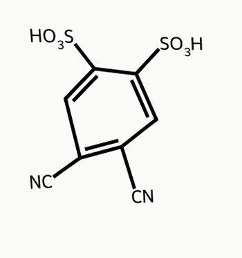 N#Cc1cc(S(=O)(=O)O)c(S(=O)(=O)O)cc1C#N